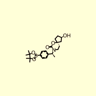 C[C@@H](c1ccc(B2OC(C)(C)C(C)(C)O2)cc1)N1CC[C@@]2(CC[C@@H](O)C2)OC1=O